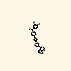 O=C(c1ccc(Cl)c(F)c1)N1CCC(N2CC(n3cc(-c4ncnc5[nH]ccc45)cn3)C2)CC1